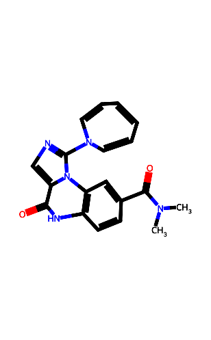 CN(C)C(=O)c1ccc2[nH]c(=O)c3cnc(N4C=CC=CC=C4)n3c2c1